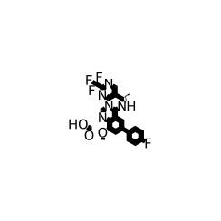 COc1cc(-c2ccc(F)cc2)cc2c(N[C@@H](C)c3cnc(C(F)(F)F)nc3)ncnc12.O=CO